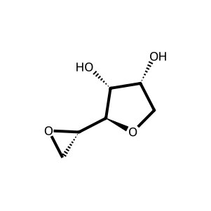 O[C@H]1[C@H]([C@@H]2CO2)OC[C@H]1O